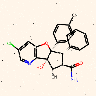 N#Cc1ccc([C@@]23Oc4cc(Cl)cnc4[C@]2(O)[C@@H](C#N)[C@H](C(N)=O)[C@H]3c2ccccc2)cc1